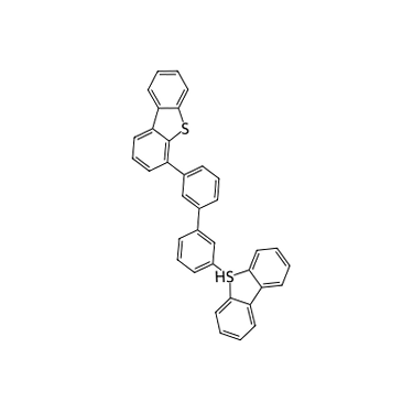 c1cc(-c2cccc([SH]3c4ccccc4-c4ccccc43)c2)cc(-c2cccc3c2sc2ccccc23)c1